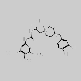 COc1cc(NC(=O)NC(C[N+]2(C)CCC(Cc3ccc(Cl)c(Cl)c3)CC2)C(C)C)cc(OC)c1OC.[Cl-]